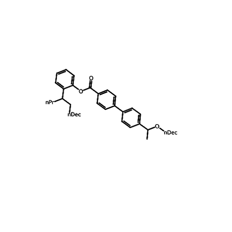 CCCCCCCCCCCC(CCC)c1ccccc1OC(=O)c1ccc(-c2ccc(C(C)OCCCCCCCCCC)cc2)cc1